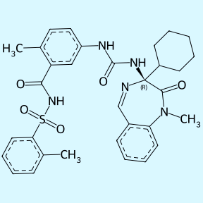 Cc1ccc(NC(=O)N[C@]2(C3CCCCC3)N=Cc3ccccc3N(C)C2=O)cc1C(=O)NS(=O)(=O)c1ccccc1C